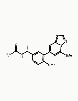 COc1cnc([C@@H](C)NC(N)=O)cc1-c1cc2ncnn2c(SC)n1